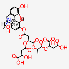 CC(OC(=O)C(CC(=O)OC1=CC[C@@]2(O)[C@H]3Cc4ccc(O)c5c4[C@@]2(CCN3C)[C@H]1O5)OC(=O)CC(O)C(=O)O)C(=O)OC(CC(=O)O)C(=O)O